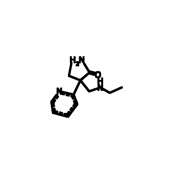 CCNCC(CC)(C(N)=O)c1ccccn1